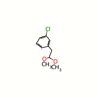 COC(Cc1[c]ccc(Cl)c1)OC